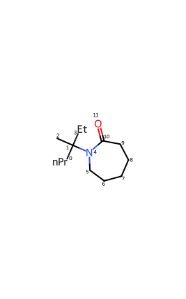 CCCC(C)(CC)N1CCCCCC1=O